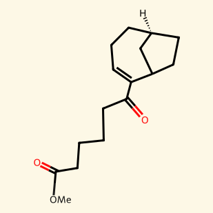 COC(=O)CCCCC(=O)C1=CCC[C@H]2CCC1C2